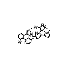 Cc1cccc2c1N1C(=C(C(C)C)N(C)C1(C)C)c1nc(C[C@]3(C)N(C)C=C4c5cccc(C(C)C)c5-c5nccc(C)c5N43)ccc1-2